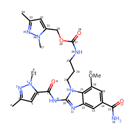 CCn1nc(C)cc1C(=O)Nc1nc2cc(C(N)=O)cc(OC)c2n1CCCNC(=O)OCc1cc(C)nn1C